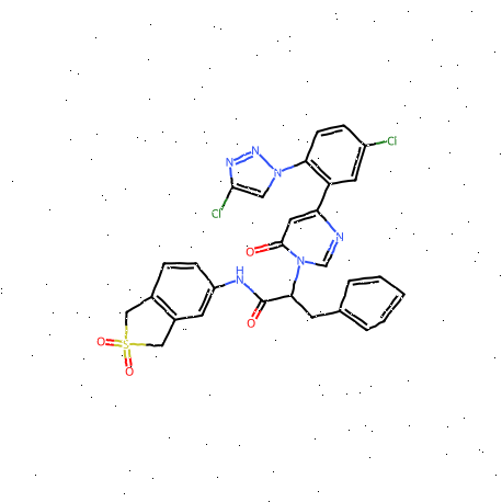 O=C(Nc1ccc2c(c1)CS(=O)(=O)C2)C(Cc1ccccc1)n1cnc(-c2cc(Cl)ccc2-n2cc(Cl)nn2)cc1=O